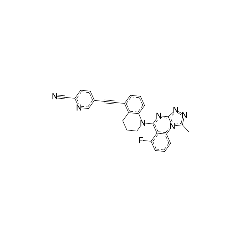 Cc1nnc2nc(N3CCCc4c(C#Cc5ccc(C#N)nc5)cccc43)c3c(F)cccc3n12